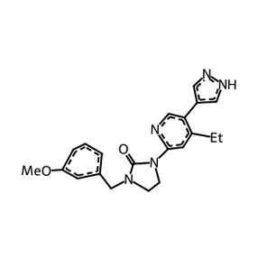 CCc1cc(N2CCN(Cc3cccc(OC)c3)C2=O)ncc1-c1cn[nH]c1